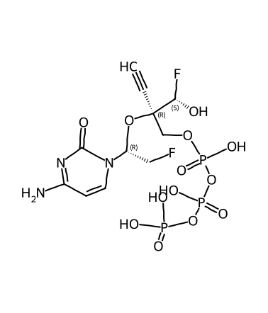 C#C[C@](COP(=O)(O)OP(=O)(O)OP(=O)(O)O)(O[C@H](CF)n1ccc(N)nc1=O)[C@@H](O)F